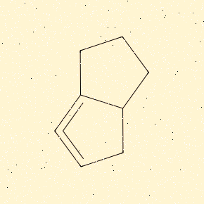 C1=CCC2CCCC=12